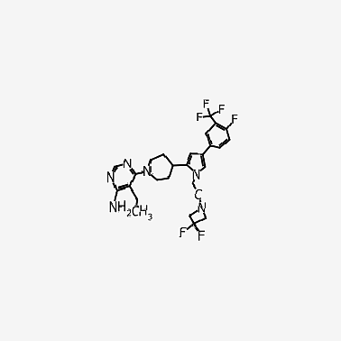 CCc1c(N)ncnc1N1CCC(c2cc(-c3ccc(F)c(C(F)(F)F)c3)cn2CCN2CC(F)(F)C2)CC1